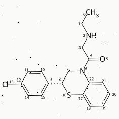 CCNCC(=O)N1C[C@@H](c2ccc(Cl)cc2)Sc2ccccc21